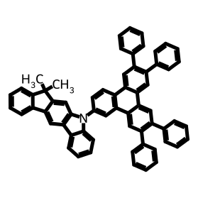 CC1(C)c2ccccc2-c2cc3c4ccccc4n(-c4ccc5c(c4)c4cc(-c6ccccc6)c(-c6ccccc6)cc4c4cc(-c6ccccc6)c(-c6ccccc6)cc54)c3cc21